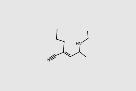 CCC/C(C#N)=C\C(C)NCC